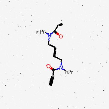 C#CC(=O)N(C/C=C/CN(CCC)C(=O)C=C)CCC